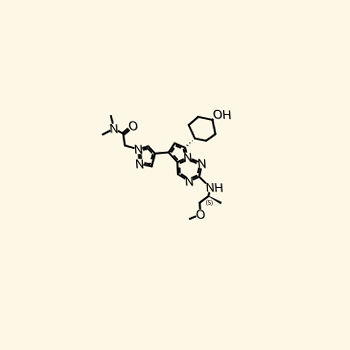 COC[C@H](C)Nc1ncc2c(-c3cnn(CC(=O)N(C)C)c3)cc([C@H]3CC[C@H](O)CC3)n2n1